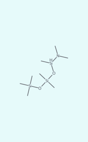 CN(C)[SiH](C)O[Si](C)(C)O[Si](C)(C)C